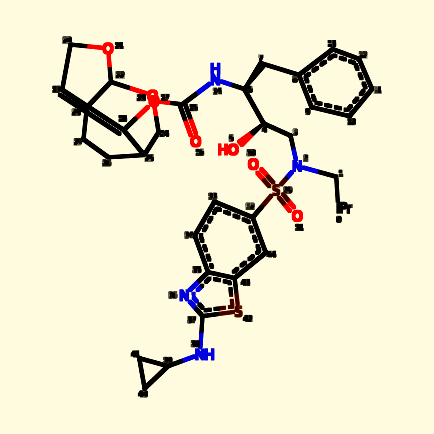 CC(C)CN(C[C@@H](O)[C@H](Cc1ccccc1)NC(=O)OC1=C2COC3OCC1CCC23)S(=O)(=O)c1ccc2nc(NC3CC3)sc2c1